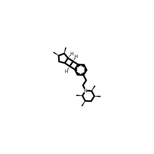 C[C@H]1[C@@H]2C(C[C@H]1C)[C@@H]1c3cc(CCN4[C@H](C)[C@H](C)C[C@H](C)[C@@H]4C)ccc3[C@H]21